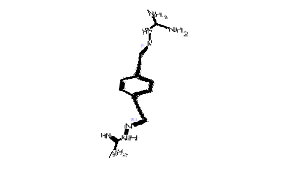 N=C(N)N/N=C/c1ccc(/C=N/NC(N)N)cc1